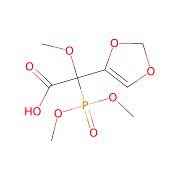 COC(C(=O)O)(C1=COCO1)P(=O)(OC)OC